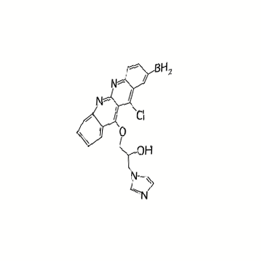 Bc1ccc2nc3nc4ccccc4c(OCC(O)Cn4ccnc4)c3c(Cl)c2c1